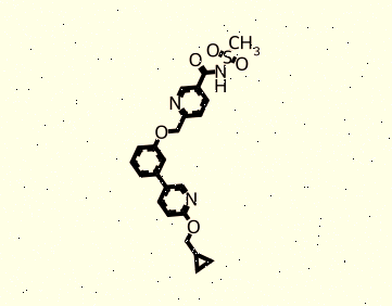 CS(=O)(=O)NC(=O)c1ccc(COc2cccc(-c3ccc(OCC4CC4)nc3)c2)nc1